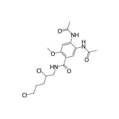 COc1cc(NC(C)=O)c(NC(C)=O)cc1C(=O)NCC(Cl)CCCCl